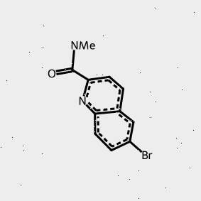 CNC(=O)c1ccc2cc(Br)ccc2n1